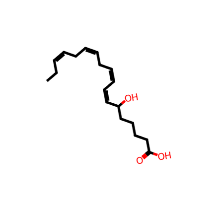 CC/C=C\C/C=C\C/C=C\C=C/C(O)CCCCC(=O)O